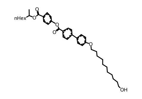 CCCCCCC(C)OC(=O)c1ccc(OC(=O)c2ccc(-c3ccc(OCCCCCCCCCCCO)cc3)cc2)cc1